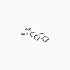 COc1cc2ccc3c4ccccc4ccc3c2cc1OC